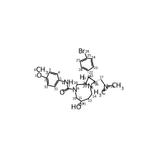 COc1ccc(NC(=O)N2C[C@H](O)CCN3[C@@H](CN(C)C)[C@@H](c4ccc(Br)cc4)[C@@H]3C2)cc1